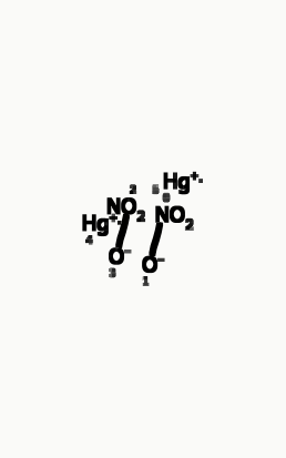 O=[N+]([O-])[O-].O=[N+]([O-])[O-].[Hg+].[Hg+]